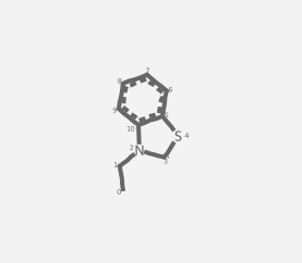 CCN1[CH]Sc2ccccc21